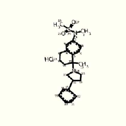 CN(c1ccc2c(c1)CCCC2(C)N1CCC(c2ccccc2)C1)S(C)(=O)=O.Cl